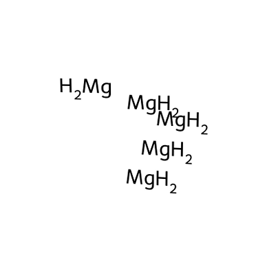 [MgH2].[MgH2].[MgH2].[MgH2].[MgH2]